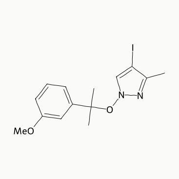 COc1cccc(C(C)(C)On2cc(I)c(C)n2)c1